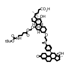 C[C@H](CCC(=O)O)[C@H]1CC[C@H]2[C@@H]3[C@H](OCOC(=O)CCCNC(=O)OC(C)(C)C)C[C@@H]4C[C@@H](OCCN(C)c5ccc([C@H]6C[C@@]7(C)C(CC[C@]7(C)O)C7CCC8=CC(=O)CCC8=C76)cc5)CC[C@]4(C)[C@H]3C[C@H](O)[C@]12C